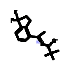 C/C(=N\[S+]([O-])C(C)(C)C)c1cccc2c1CCC2(F)F